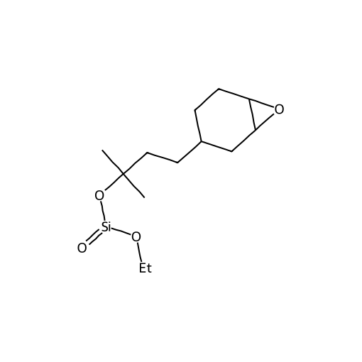 CCO[Si](=O)OC(C)(C)CCC1CCC2OC2C1